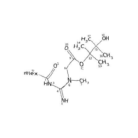 CCCCCCC(=O)NC(=N)N(C)CC(=O)OC(C)(C)C(C)(C)O